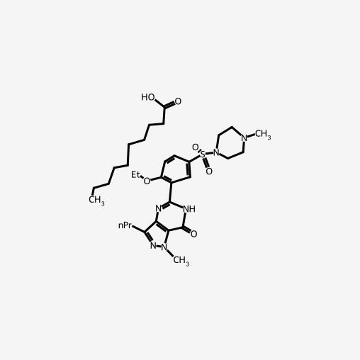 CCCCCCCCCC(=O)O.CCCc1nn(C)c2c(=O)[nH]c(-c3cc(S(=O)(=O)N4CCN(C)CC4)ccc3OCC)nc12